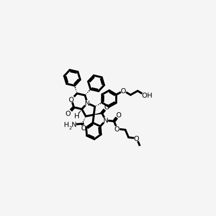 COCCOC(=O)N1C(=O)[C@@]2(c3ccccc31)[C@H](C(N)=O)[C@H]1C(=O)O[C@H](c3ccccc3)[C@H](c3ccccc3)N1[C@@H]2c1ccc(OCCO)cc1